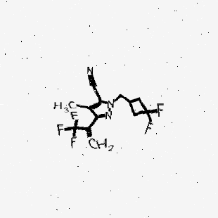 C=C(c1nn(CC2CC(F)(F)C2)c(C#N)c1C)C(F)(F)F